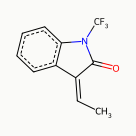 CC=C1C(=O)N(C(F)(F)F)c2ccccc21